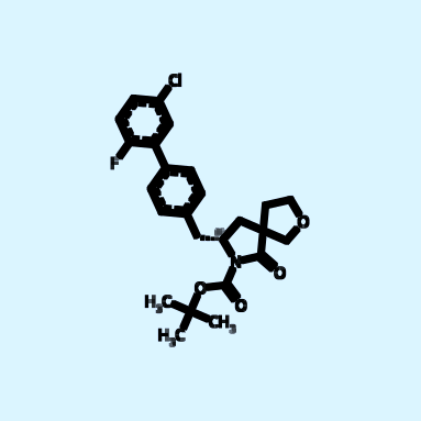 CC(C)(C)OC(=O)N1C(=O)C2(CCOC2)C[C@H]1Cc1ccc(-c2cc(Cl)ccc2F)cc1